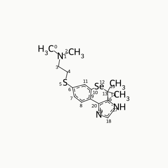 CN(C)CCSc1ccc2c(c1)[Se]C(C)(C)c1[nH]cnc1-2